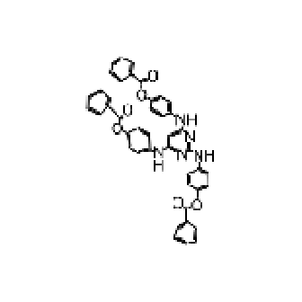 O=C(Oc1ccc(Nc2cc(Nc3ccc(OC(=O)c4ccccc4)cc3)nc(Nc3ccc(OC(=O)c4ccccc4)cc3)n2)cc1)c1ccccc1